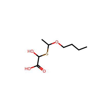 CCCCOC(C)SC(O)C(=O)O